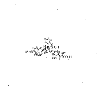 CC[C@H](C)[C@H](NC(=O)C[C@H](O)[C@H](Cc1ccccc1)NC(=O)[C@@H](NC(=O)Cc1ccc(OC)c(OC)c1)C(C)C)C(=O)N[C@H](C(=O)O)C(C)C